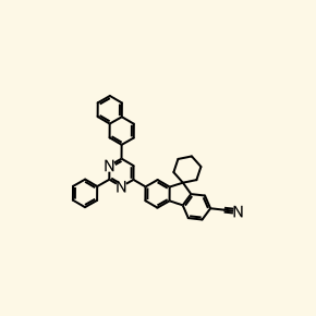 N#Cc1ccc2c(c1)C1(CCCCC1)c1cc(-c3cc(-c4ccc5ccccc5c4)nc(-c4ccccc4)n3)ccc1-2